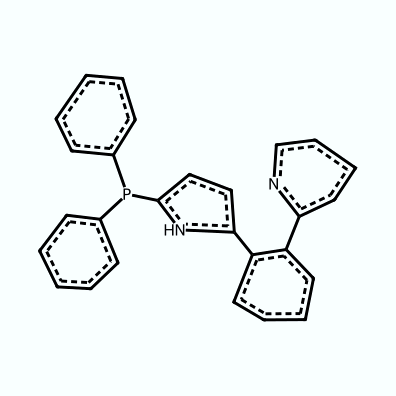 c1ccc(P(c2ccccc2)c2ccc(-c3ccccc3-c3ccccn3)[nH]2)cc1